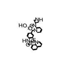 O=C(c1ccc(NS(=O)(=O)c2cccc3cccnc23)c(F)c1)N1CC=CC=C1N(C(=O)O)C1CNC1